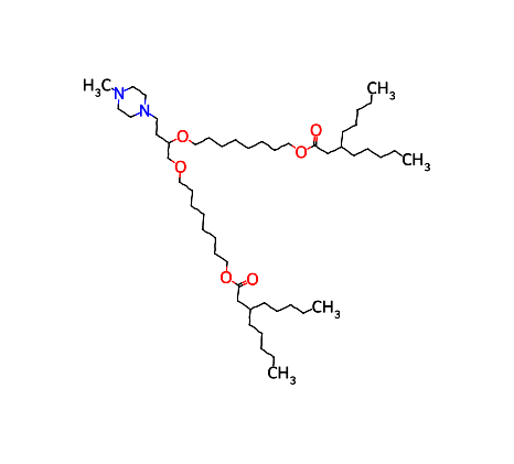 CCCCCC(CCCCC)CC(=O)OCCCCCCCCOCC(CCN1CCN(C)CC1)OCCCCCCCCOC(=O)CC(CCCCC)CCCCC